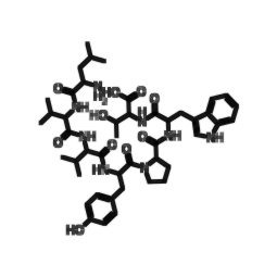 CC(C)CC(N)C(=O)NC(C(=O)NC(C(=O)NC(Cc1ccc(O)cc1)C(=O)N1CCCC1C(=O)NC(Cc1c[nH]c2ccccc12)C(=O)NC(C(=O)O)C(C)O)C(C)C)C(C)C